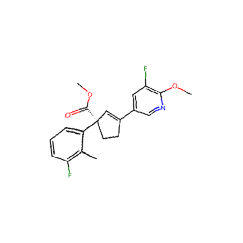 COC(=O)[C@]1(c2cccc(F)c2C)C=C(c2cnc(OC)c(F)c2)CC1